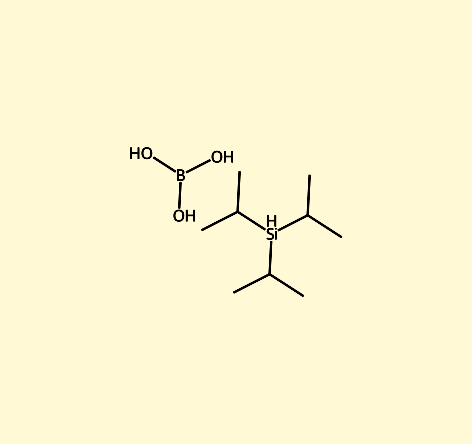 CC(C)[SiH](C(C)C)C(C)C.OB(O)O